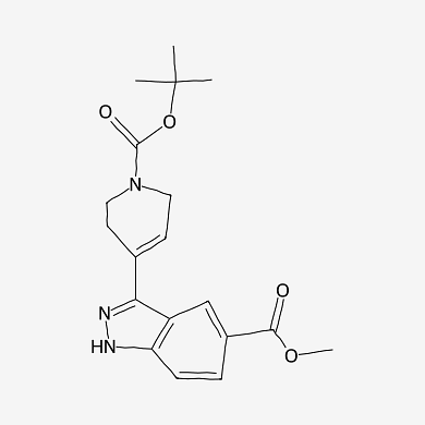 COC(=O)c1ccc2[nH]nc(C3=CCN(C(=O)OC(C)(C)C)CC3)c2c1